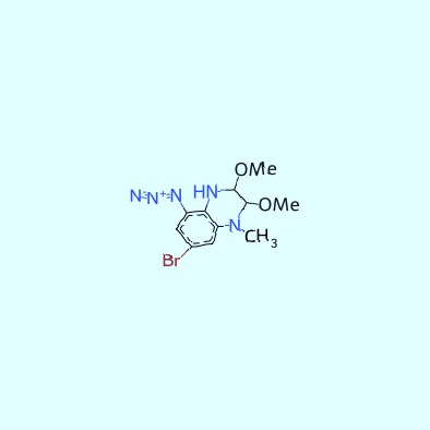 COC1Nc2c(N=[N+]=[N-])cc(Br)cc2N(C)C1OC